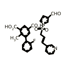 Cc1c(C(=O)O)cc(C(=O)O)cc1-c1ccccc1F.O=Cc1ccn(S(=O)(=O)CC=Cc2cccnc2)c1